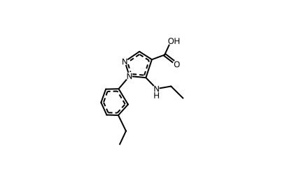 CCNc1c(C(=O)O)cnn1-c1cccc(CC)c1